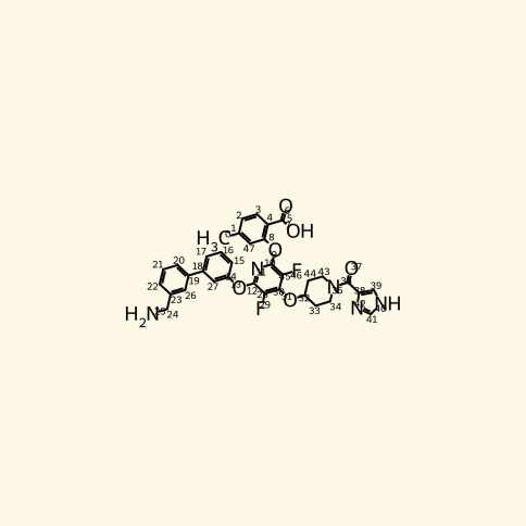 Cc1ccc(C(=O)O)c(Oc2nc(Oc3cccc(-c4cccc(CN)c4)c3)c(F)c(OC3CCN(C(=O)c4c[nH]cn4)CC3)c2F)c1